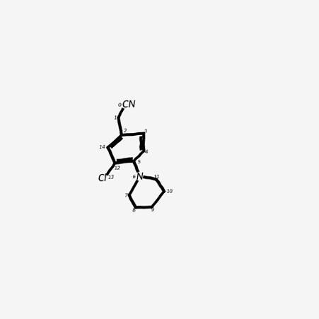 N#CCc1ccc(N2CCCCC2)c(Cl)c1